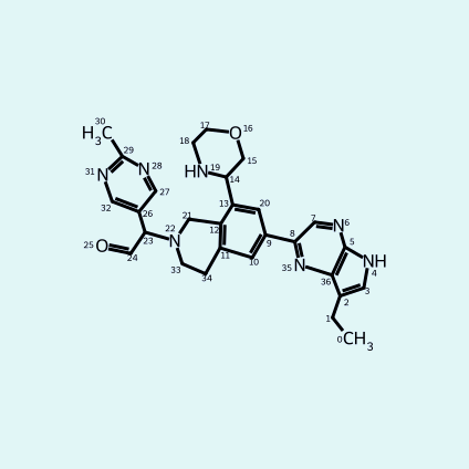 CCc1c[nH]c2ncc(-c3cc4c(c(C5COCCN5)c3)CN(C(C=O)c3cnc(C)nc3)CC4)nc12